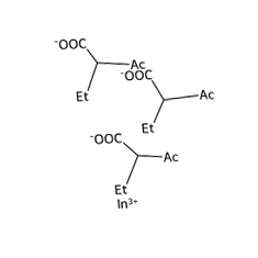 CCC(C(C)=O)C(=O)[O-].CCC(C(C)=O)C(=O)[O-].CCC(C(C)=O)C(=O)[O-].[In+3]